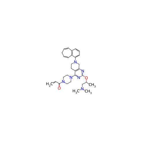 C=CC(=O)N1CCN(c2nc(OC(C)CN(C)C)nc3c2CCN(c2cccc4c2C=CCC=C4)C3)CC1